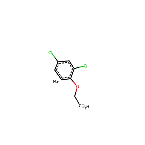 O=C(O)COc1ccc(Cl)cc1Cl.[Na]